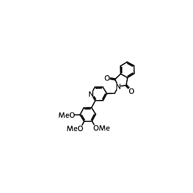 COc1cc(-c2cc(CN3C(=O)c4ccccc4C3=O)ccn2)cc(OC)c1OC